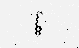 CCCCCCc1ccc2cscc2c1